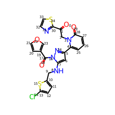 O=C(Cn1c(-c2cc(NCc3ccc(Cl)s3)n(C(=O)c3ccoc3)n2)cccc1=O)c1nccs1